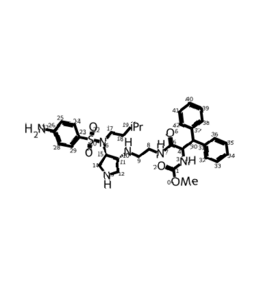 COC(=O)NC(C(=O)NCCN[C@@H]1CNC[C@H]1N(CCC(C)C)S(=O)(=O)c1ccc(N)cc1)C(c1ccccc1)c1ccccc1